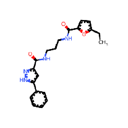 CCc1ccc(C(=O)NCCCNC(=O)c2cc(-c3ccccc3)[nH]n2)o1